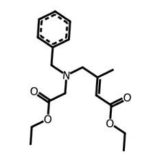 CCOC(=O)C=C(C)CN(CC(=O)OCC)Cc1ccccc1